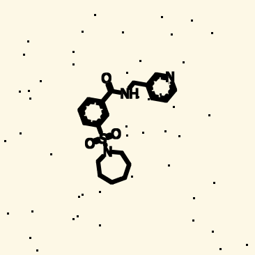 O=C(NCc1cccnc1)c1cccc(S(=O)(=O)N2CCCCCC2)c1